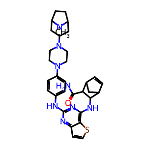 CN1C2CCC1CC(N1CCN(c3ccc(Nc4nc(NC5C6C=CC(C6)C5C(N)=O)c5sccc5n4)cc3)CC1)C2